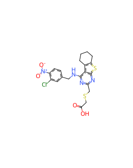 O=C(O)CSCc1nc(NCc2ccc([N+](=O)[O-])c(Cl)c2)c2c3c(sc2n1)CCCC3